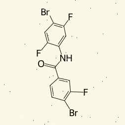 O=C(Nc1cc(F)c(Br)cc1F)c1ccc(Br)c(F)c1